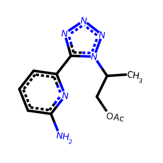 CC(=O)OCC(C)n1nnnc1-c1cccc(N)n1